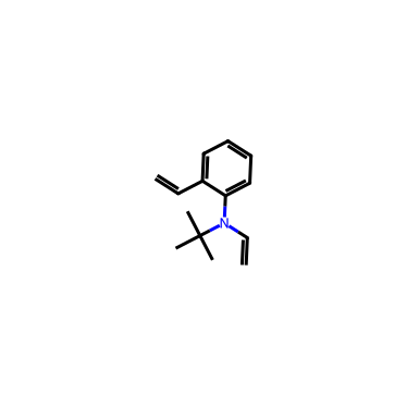 C=Cc1ccccc1N(C=C)C(C)(C)C